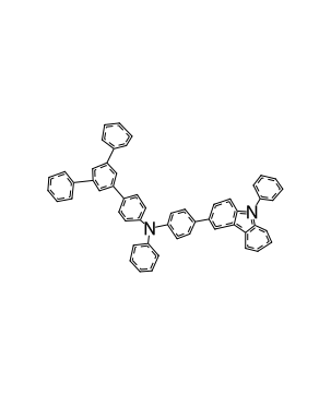 c1ccc(-c2cc(-c3ccccc3)cc(-c3ccc(N(c4ccccc4)c4ccc(-c5ccc6c(c5)c5ccccc5n6-c5ccccc5)cc4)cc3)c2)cc1